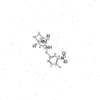 Cc1ccc(CNC2C[C@H]3CC[C@@H](C2)N3)cc1[N+](=O)[O-]